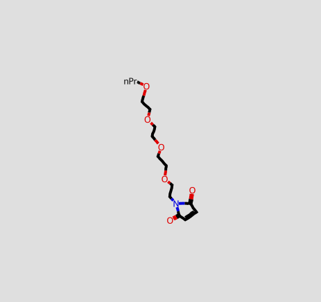 CCCOCCOCCOCCOCCN1C(=O)C=CC1=O